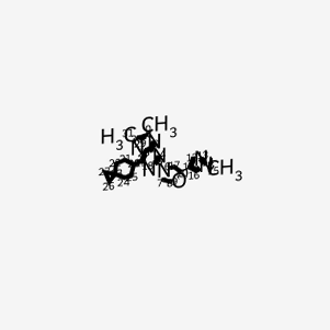 Cc1nc2nc(N3CCO[C@@H](c4cnn(C)c4)C3)nc(C3CCC4(CC3)CC4)c2nc1C